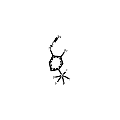 FS(F)(F)(F)(F)c1ccc(N=C=[Se])c(Br)c1